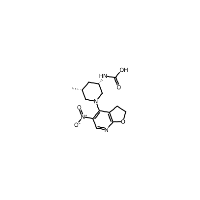 C[C@@H]1C[C@H](NC(=O)O)CN(c2c([N+](=O)[O-])cnc3c2CCO3)C1